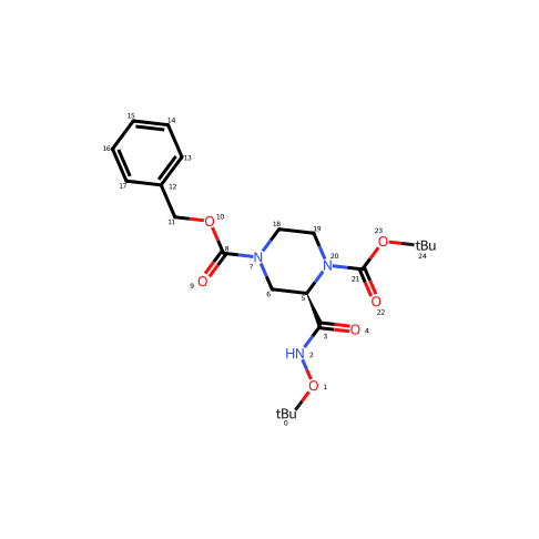 CC(C)(C)ONC(=O)[C@H]1CN(C(=O)OCc2ccccc2)CCN1C(=O)OC(C)(C)C